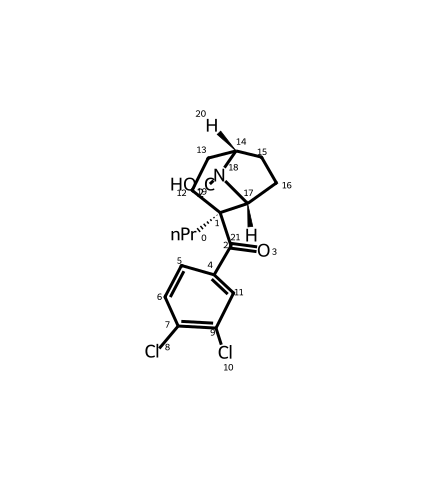 CCC[C@]1(C(=O)c2ccc(Cl)c(Cl)c2)CC[C@@H]2CC[C@H]1N2C(=O)O